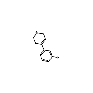 Fc1cccc(C2=CC[N]CC2)c1